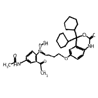 CC(=O)Nc1ccc([N+](=CCCCOc2ccc3c(c2)C(C2CCCCC2)(C2CCCCC2)OC(=O)N3)OS)c(C(C)=O)c1